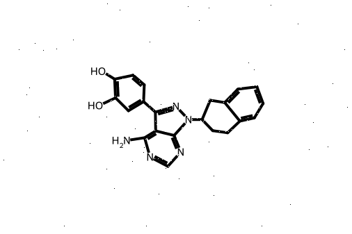 Nc1ncnc2c1c(-c1ccc(O)c(O)c1)nn2C1CCc2ccccc2C1